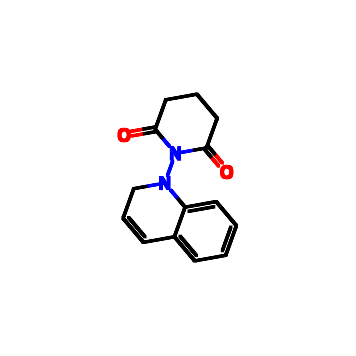 O=C1CCCC(=O)N1N1CC=Cc2ccccc21